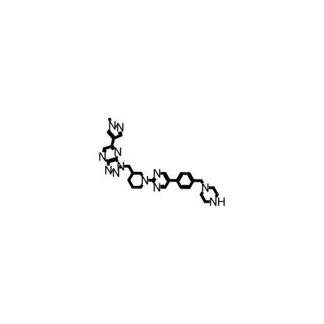 Cn1cc(-c2cnc3nnn(CC4CCCN(c5ncc(-c6ccc(CN7CCNCC7)cc6)cn5)C4)c3n2)cn1